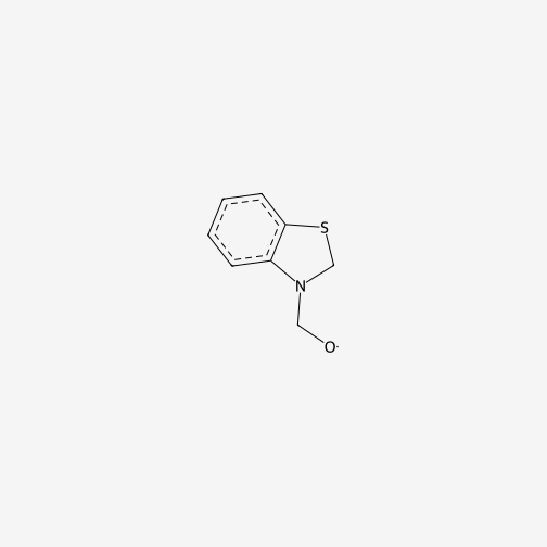 [O]CN1CSc2ccccc21